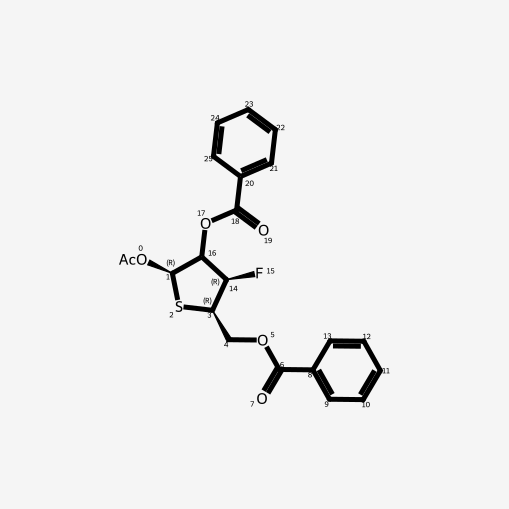 CC(=O)O[C@@H]1S[C@H](COC(=O)c2ccccc2)[C@H](F)C1OC(=O)c1ccccc1